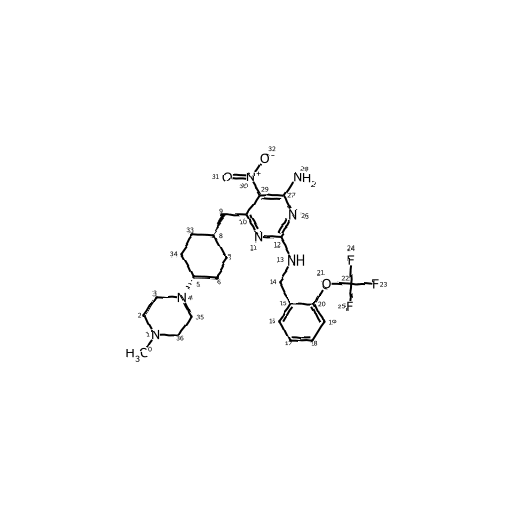 CN1CCN([C@H]2CC[C@H](Cc3nc(NCc4ccccc4OC(F)(F)F)nc(N)c3[N+](=O)[O-])CC2)CC1